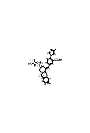 CCCO.COc1cc(/C=C2\CCCN([C@@H](C)c3ccc(F)cc3)C2=O)ccc1-n1cnc(C)c1.O=P(O)(O)O